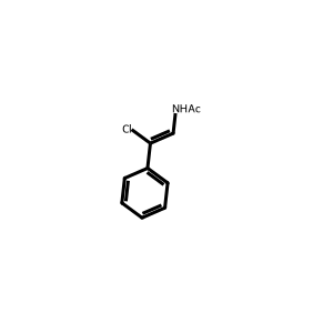 CC(=O)NC=C(Cl)c1ccccc1